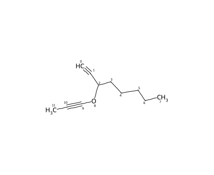 C#CC(CCCCC)OC#CC